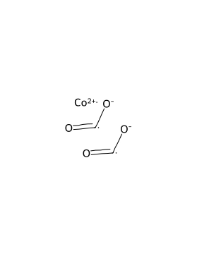 O=[C][O-].O=[C][O-].[Co+2]